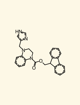 O=C(OCC1c2ccccc2-c2ccccc21)N1CCN(Cc2c[nH]cn2)c2ccccc21